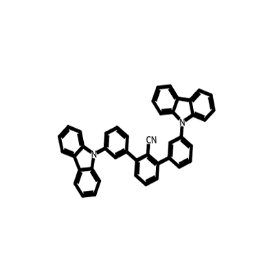 N#Cc1c(-c2cccc(-n3c4ccccc4c4ccccc43)c2)cccc1-c1cccc(-n2c3ccccc3c3ccccc32)c1